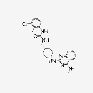 Cc1c(Cl)cccc1NC(=O)NC[C@H]1CC[C@@H](Nc2nc(N(C)C)c3ccccc3n2)CC1